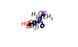 C=C(O)C(C)(C)c1ccc(-c2cn(CC3CCCCC3)c3cc(-c4c(C)noc4C)cnc23)cc1